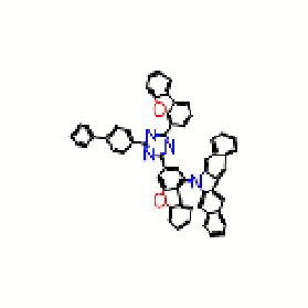 c1ccc(-c2ccc(-c3nc(-c4cc(-n5c6cc7ccccc7cc6c6cc7ccccc7cc65)c5c(c4)oc4ccccc45)nc(-c4cccc5c4oc4ccccc45)n3)cc2)cc1